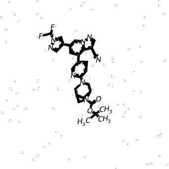 CC(C)(C)OC(=O)N1CC2CC1CN(c1ccc(-c3cc(-c4cnn(C(F)F)c4)cn4ncc(C#N)c34)cn1)C2